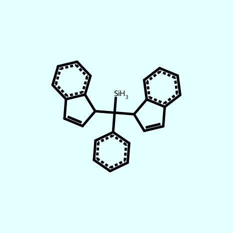 [SiH3]C(c1ccccc1)(C1C=Cc2ccccc21)C1C=Cc2ccccc21